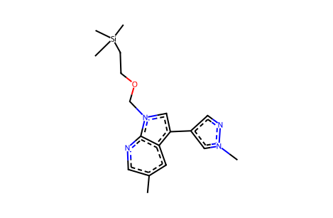 Cc1cnc2c(c1)c(-c1cnn(C)c1)cn2COCC[Si](C)(C)C